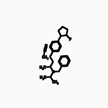 CC#N.CC(C)N(Cc1ccccc1)C(C)CCc1ccc(C2CCCC2F)cc1